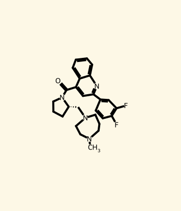 CN1CCCN(C[C@@H]2CCCN2C(=O)c2cc(-c3ccc(F)c(F)c3)nc3ccccc23)CC1